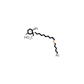 CC(=O)CCCCCS/C=C\CCCCCCCC[C@]1(CC(=O)O)C[C@@H](C)CC[C@H]1C(C)C